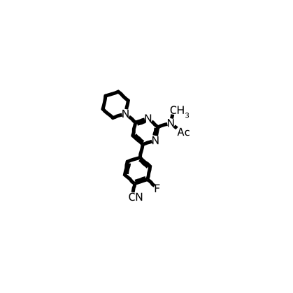 CC(=O)N(C)c1nc(-c2ccc(C#N)c(F)c2)cc(N2CCCCC2)n1